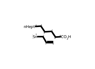 C=C[CH2][Sn].CCCCCCCCCCCC(=O)O